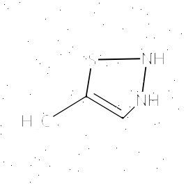 CC1=CNNS1